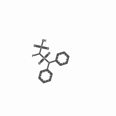 O=S(=O)(O)C(F)S(=O)(=O)N(c1ccccc1)c1ccccc1